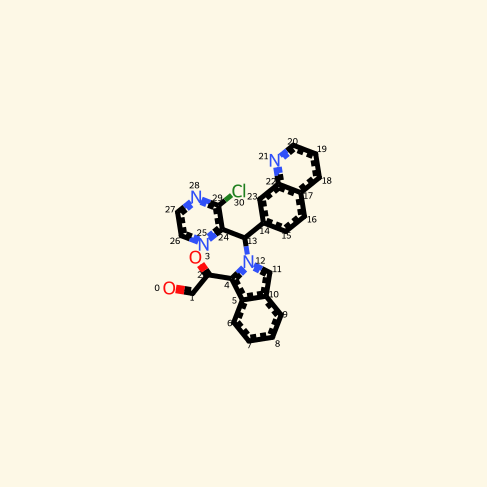 O=CC(=O)c1c2ccccc2cn1C(c1ccc2cccnc2c1)c1nccnc1Cl